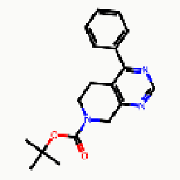 CC(C)(C)OC(=O)N1CCc2c(ncnc2-c2ccccc2)C1